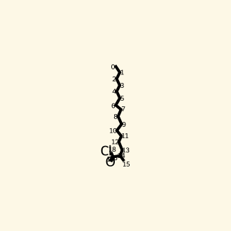 CCCCCCCCCCCCCCC(C)C(=O)Cl